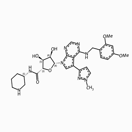 COc1ccc(CNc2ncnc3c2c(-c2ccn(C)n2)cn3[C@@H]2O[C@H](C(=O)N[C@H]3CCCNC3)[C@@H](O)[C@H]2O)c(OC)c1